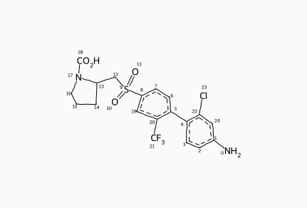 Nc1ccc(-c2ccc(S(=O)(=O)CC3CCCN3C(=O)O)cc2C(F)(F)F)c(Cl)c1